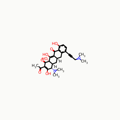 CC(=O)C1=C(O)[C@@H](N(C)C)[C@@H]2C[C@@H]3Cc4c(C#CCN(C)C)ccc(O)c4C(=O)C3=C(O)[C@]2(O)C1=O